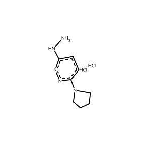 Cl.Cl.NNc1ccc(N2CCCC2)nn1